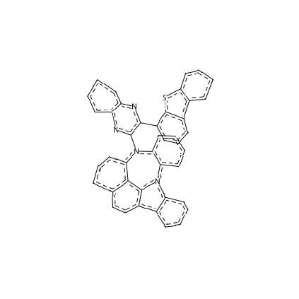 c1ccc2nc(-n3c4cccc5ccc6c7ccccc7n(c7ccccc73)c6c54)c(-c3cccc4c3sc3ccccc34)nc2c1